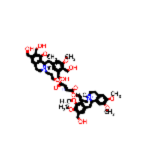 COc1cc2c(cc1OC)C(Cc1cc(CO)c(OC)c(OC)c1)[N+](C)(CCCOC(=O)/C=C/C(=O)OCCC[N+]1(C)CCc3cc(CO)c(CO)c(OC)c3C1Cc1cc(CO)c(CO)c(OC)c1)CC2